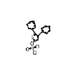 O=S(=O)(Cl)Cl.c1ccc(-c2ccsc2-c2ccccc2)cc1